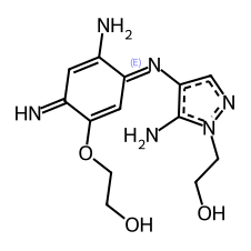 N=C1C=C(N)/C(=N/c2cnn(CCO)c2N)C=C1OCCO